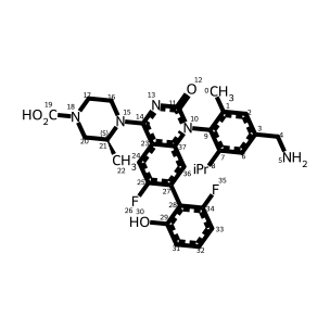 Cc1cc(CN)cc(C(C)C)c1-n1c(=O)nc(N2CCN(C(=O)O)C[C@@H]2C)c2cc(F)c(-c3c(O)cccc3F)cc21